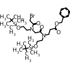 CC(C)(C)[Si](C)(C)OCCN(CCC(=O)OCc1ccccc1)C(=O)CN(CCO[Si](C)(C)C(C)(C)C)C(=O)CBr